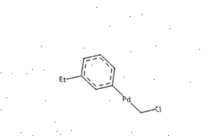 CCc1ccc[c]([Pd][CH2]Cl)c1